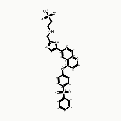 CS(=O)(=O)CCNCc1ncc(-c2cc3c(Nc4ccc(S(=O)(=O)c5ccccc5)cc4)ncnc3cn2)s1